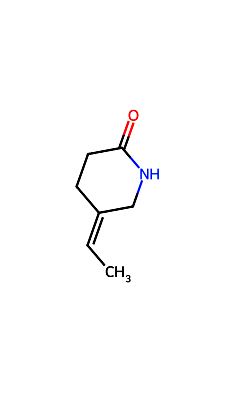 C/C=C1/CCC(=O)NC1